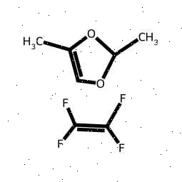 CC1=COC(C)O1.FC(F)=C(F)F